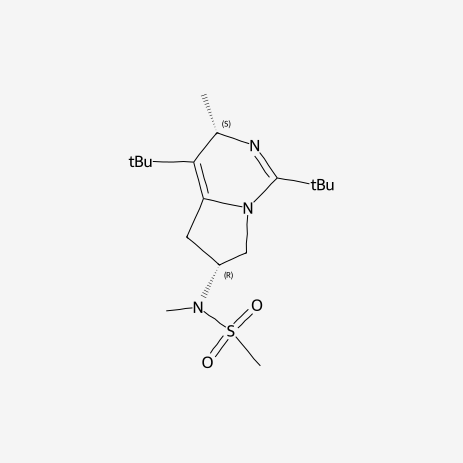 C[C@@H]1N=C(C(C)(C)C)N2C[C@H](N(C)S(C)(=O)=O)CC2=C1C(C)(C)C